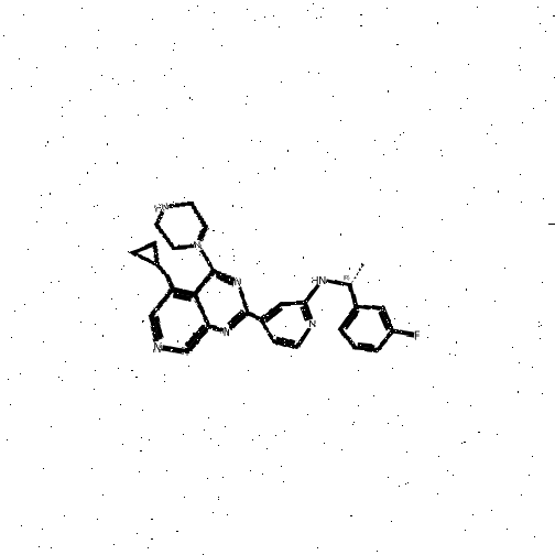 C[C@@H](Nc1cc(-c2nc(N3CCNCC3)c3c(C4CC4)cncc3n2)ccn1)c1cccc(F)c1